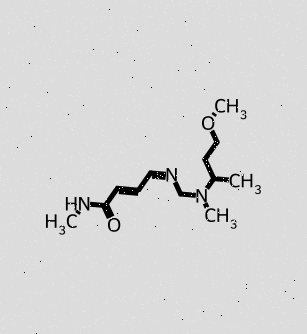 CNC(=O)/C=C/C=N\CN(C)C(C)CCOC